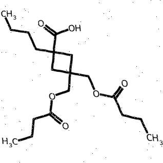 CCCCC1(C(=O)O)CC(COC(=O)CCC)(COC(=O)CCC)C1